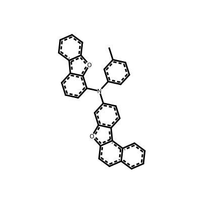 Cc1cccc(N(c2ccc3c(c2)oc2ccc4ccccc4c23)c2cccc3c2oc2ccccc23)c1